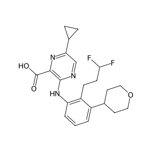 O=C(O)c1nc(C2CC2)cnc1Nc1cccc(C2CCOCC2)c1CCC(F)F